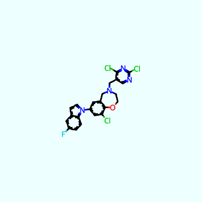 Fc1ccc2c(ccn2-c2cc(Cl)c3c(c2)CN(Cc2cnc(Cl)nc2Cl)CCO3)c1